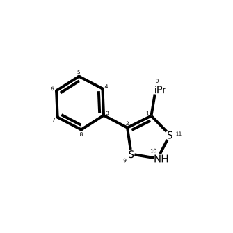 CC(C)C1=C(c2ccccc2)SNS1